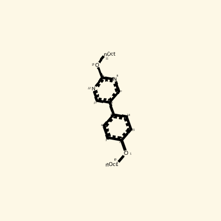 CCCCCCCCOc1ccc(-c2cnc(OCCCCCCCC)nc2)cc1